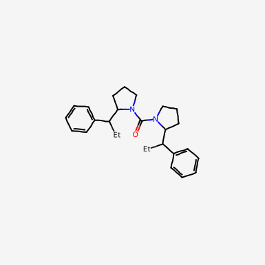 CCC(c1ccccc1)C1CCCN1C(=O)N1CCCC1C(CC)c1ccccc1